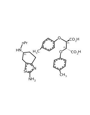 CCCN[C@@H]1CCc2nc(N)sc2C1.Cc1ccc(O[C@@H](C(=O)O)[C@@H](Oc2ccc(C)cc2)C(=O)O)cc1